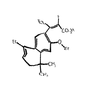 CCOc1cc2c(cc1/C(CC)=C(/F)C(=O)O)C(CC)=CCC2(C)C